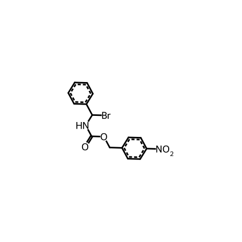 O=C(NC(Br)c1ccccc1)OCc1ccc([N+](=O)[O-])cc1